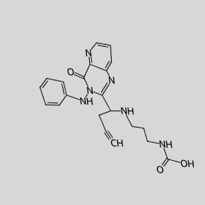 C#CCC(NCCCNC(=O)O)c1nc2cccnc2c(=O)n1Nc1ccccc1